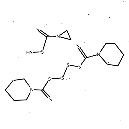 S=C(SS)N1CC1.S=C(SSSSC(=S)N1CCCCC1)N1CCCCC1